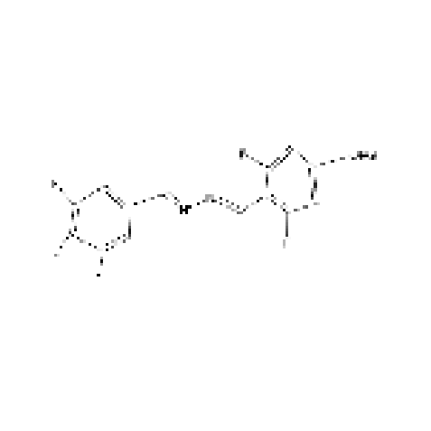 COc1cc(F)c(C=NN=Cc2cc(F)c(F)c(F)c2)c(F)c1